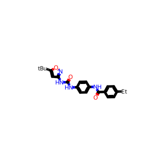 CCc1ccc(C(=O)Nc2ccc(NC(=O)Nc3cc(C(C)(C)C)on3)cc2)cc1